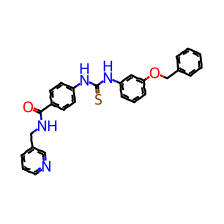 O=C(NCc1cccnc1)c1ccc(NC(=S)Nc2cccc(OCc3ccccc3)c2)cc1